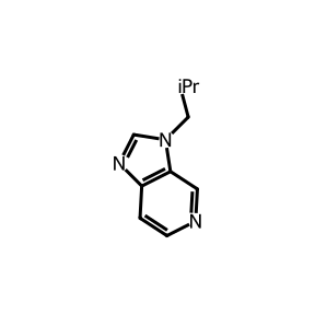 CC(C)Cn1cnc2ccncc21